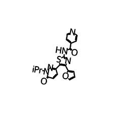 CC(C)n1nc(-c2sc(NC(=O)c3ccncc3)nc2-c2ccco2)ccc1=O